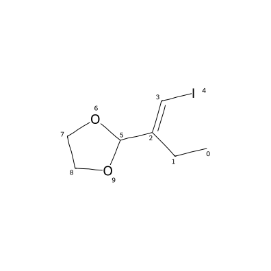 CCC(=CI)C1OCCO1